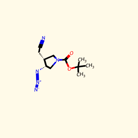 CC(C)(C)OC(=O)N1C[C@@H](CC#N)[C@@H](N=[N+]=[N-])C1